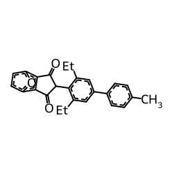 CCc1cc(-c2ccc(C)cc2)cc(CC)c1C1C(=O)c2c(c3ccc2o3)C1=O